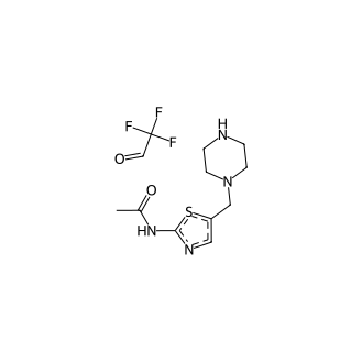 CC(=O)Nc1ncc(CN2CCNCC2)s1.O=CC(F)(F)F